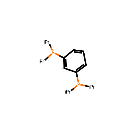 CC(C)P(c1[c]c(P(C(C)C)C(C)C)ccc1)C(C)C